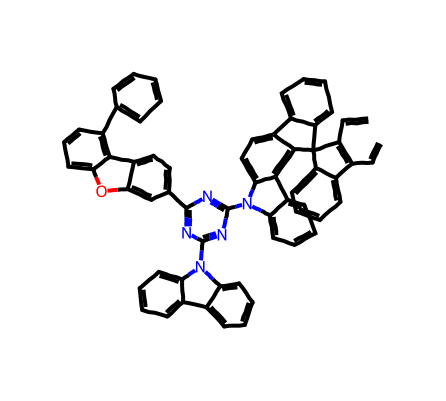 C=CC1=C(C=C)C2(c3ccccc31)c1ccccc1-c1ccc3c(c12)c1ccccc1n3-c1nc(-c2ccc3c(c2)oc2cccc(-c4ccccc4)c23)nc(-n2c3ccccc3c3ccccc32)n1